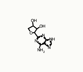 Nc1nc(C2OCC(O)C2O)nc2[nH]cnc12